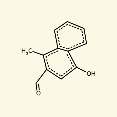 Cc1c(C=O)cc(O)c2ccccc12